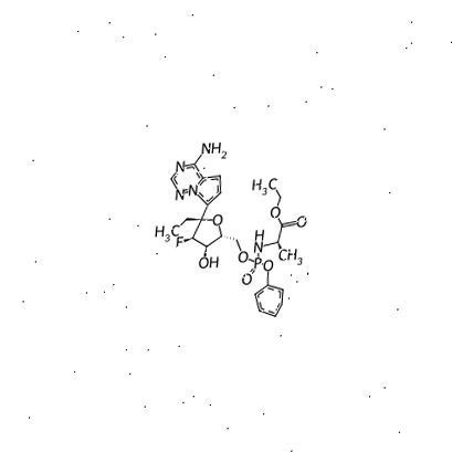 CCOC(=O)[C@@H](C)NP(=O)(OC[C@H]1O[C@@](CC)(c2ccc3c(N)ncnn23)[C@H](F)[C@@H]1O)Oc1ccccc1